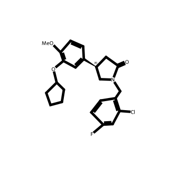 COc1ccc([C@H]2CC(=O)N(Cc3ccc(F)cc3Cl)C2)cc1OC1CCCC1